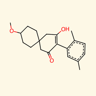 COC1CCC2(CC1)CC(=O)C(c1cc(C)ccc1C)=C(O)C2